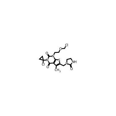 Cc1c(CN2CCNC2=O)sc2c1c(=O)n(C1(Cl)CC1)c(=O)n2CCOCCl